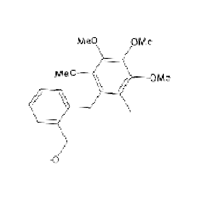 COc1c(C)c(Cc2ccccc2C[O])c(OC)c(OC)c1OC